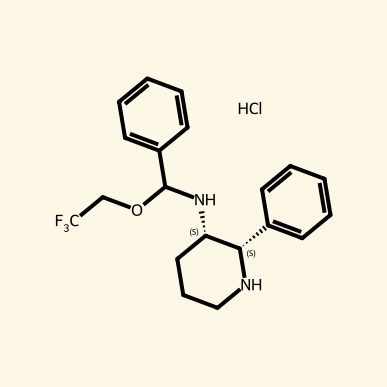 Cl.FC(F)(F)COC(N[C@H]1CCCN[C@H]1c1ccccc1)c1ccccc1